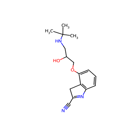 CC(C)(C)NCC(O)COc1cccc2c1CC(C#N)=N2